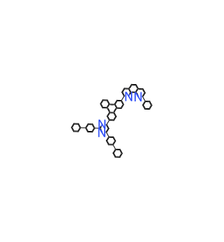 c1ccc(-c2ccc(-c3cc(-c4ccc5c6ccc(-c7ccc8ccc9ccc(-c%10ccccc%10)nc9c8n7)cc6c6ccccc6c5c4)nc(-c4ccc(-c5ccccc5)cc4)n3)cc2)cc1